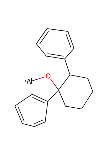 [Al][O]C1(c2ccccc2)CCCCC1c1ccccc1